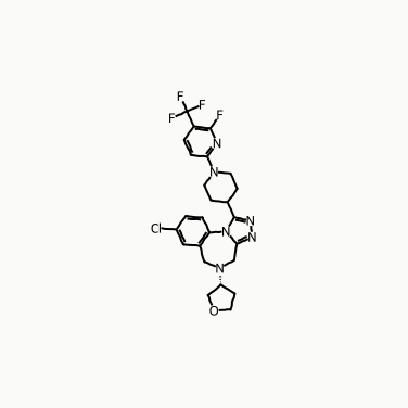 Fc1nc(N2CCC(c3nnc4n3-c3ccc(Cl)cc3CN([C@@H]3CCOC3)C4)CC2)ccc1C(F)(F)F